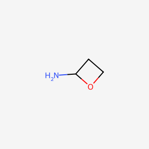 NC1CCO1